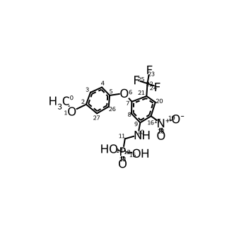 COc1ccc(Oc2cc(NCP(=O)(O)O)c([N+](=O)[O-])cc2C(F)(F)F)cc1